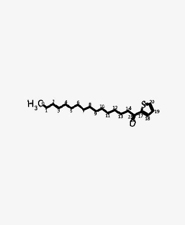 CCCCCCCCCCCCCCCC(=O)c1cccs1